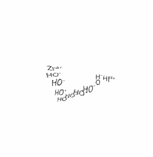 [Hf+4].[OH-].[OH-].[OH-].[OH-].[OH-].[OH-].[OH-].[OH-].[Zr+4]